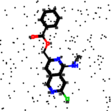 CC(C)Nc1nc(COC(=O)c2ccccc2)cc2cnc(Cl)cc12